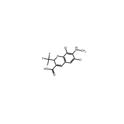 CNc1c(Cl)cc2c(c1Cl)OC(C(F)(F)F)C(C(=O)O)=C2